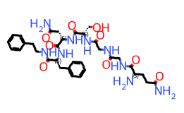 NC(=O)CC[C@H](N)C(=O)NCC(=O)NCC(=O)N[C@@H](CO)C(=O)N[C@@H](CC(N)=O)C(=O)N[C@@H](Cc1ccccc1)C(=O)NCCc1ccccc1